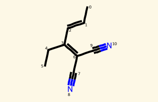 C/C=C/C(CC)=C(C#N)C#N